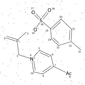 C=C(C)C[n+]1ccc(C(C)=O)cc1.Cc1ccc(S(=O)(=O)[O-])cc1